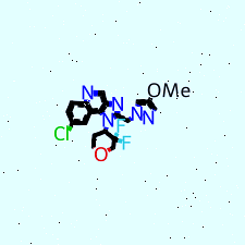 COc1cnn(Cc2nc3cnc4ccc(Cl)cc4c3n2C2CCOCC2(F)F)c1